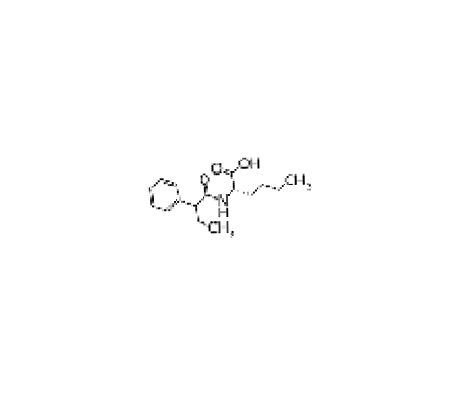 CCCC[C@H](NC(=O)C(CC)c1ccccc1)C(=O)O